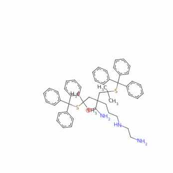 CC(C)(CC(CCCNCCN)(CC(C)(C)SC(c1ccccc1)(c1ccccc1)c1ccccc1)C(N)=O)SC(c1ccccc1)(c1ccccc1)c1ccccc1